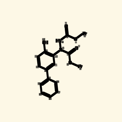 CC(C)OC(=O)NN(C(=O)OC(C)C)c1cc(-c2ccccc2)ccc1O